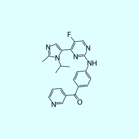 Cc1ncc(-c2nc(Nc3ccc(C(=O)c4cccnc4)cc3)ncc2F)n1C(C)C